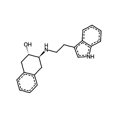 O[C@H]1Cc2ccccc2C[C@@H]1NCCc1c[nH]c2ccccc12